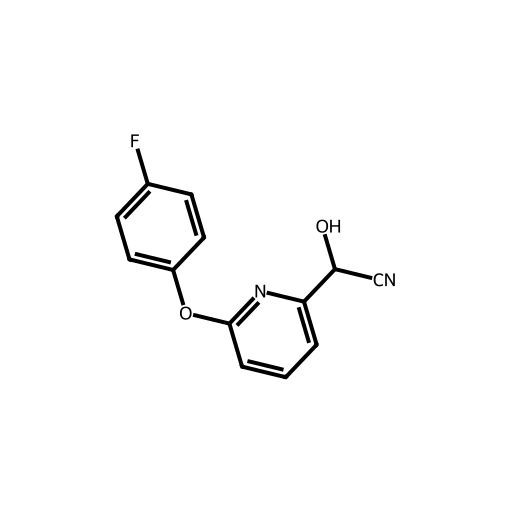 N#CC(O)c1cccc(Oc2ccc(F)cc2)n1